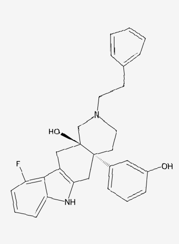 Oc1cccc([C@@]23CCN(CCc4ccccc4)C[C@@]2(O)Cc2c([nH]c4cccc(F)c24)C3)c1